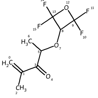 C=C(C)C(=O)C(C)OC1C(F)(F)OC1(F)F